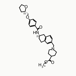 COC(=O)C1CCN(Cc2ccc3c(c2)CC[C@H](NC(=O)c2ccc(OC[C@@H]4CCCO4)cc2)C3)CC1